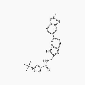 Cn1cc2ccc(-c3ccc4nc(CNC(=O)c5ccn(C(C)(C)C)c5)[nH]c4c3)cc2n1